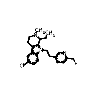 CCC1c2c(c3cc(Cl)ccc3n2CCc2ccc(CF)nc2)CCN1C